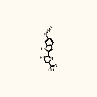 [N-]=[N+]=Nc1ccc2nc(C3=NC(C(=O)O)CN3)[nH]c2c1